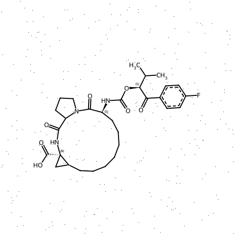 CC(C)[C@H](OC(=O)N[C@H]1CCCCCCCC2C[C@@]2(C(=O)O)NC(=O)C2CCCN2C1=O)C(=O)c1ccc(F)cc1